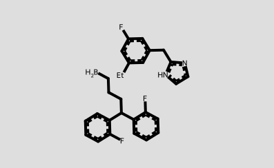 BCCCC(c1ccccc1F)c1ccccc1F.CCc1cc(F)cc(Cc2ncc[nH]2)c1